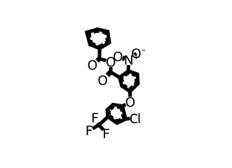 O=C(OC(=O)c1cc(Oc2ccc(C(F)(F)F)cc2Cl)ccc1[N+](=O)[O-])c1ccccc1